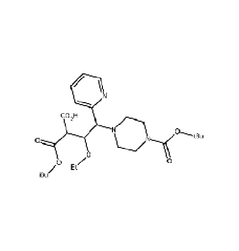 CCOC(C(C(=O)O)C(=O)OC(C)CC)C(c1ccccn1)N1CCN(C(=O)OC(C)(C)C)CC1